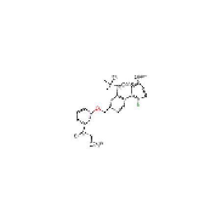 CC[C@H](CC(=O)O)c1cccc(OCc2ccc(-c3cc(OC)ccc3F)c([C@H](OC)C(C)(C)CC)c2)c1